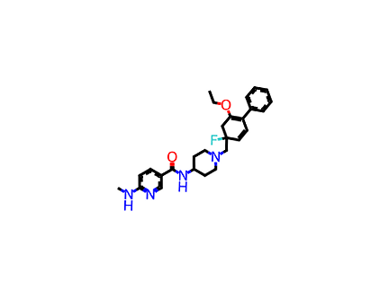 CCOC1=C(c2ccccc2)C=CC(F)(CN2CCC(NC(=O)c3ccc(NC)nc3)CC2)C1